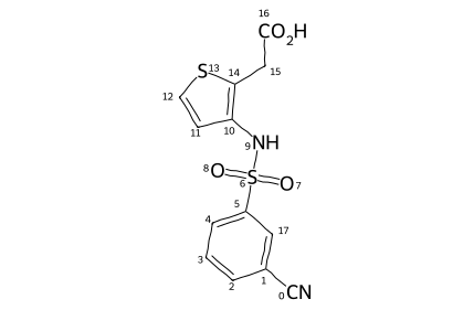 N#Cc1cccc(S(=O)(=O)Nc2ccsc2CC(=O)O)c1